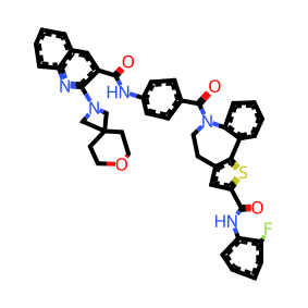 O=C(Nc1ccccc1F)c1cc2c(s1)-c1ccccc1N(C(=O)c1ccc(NC(=O)c3cc4ccccc4nc3N3CC4(CCOCC4)C3)cc1)CC2